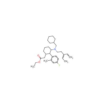 C=C/C(=C\C)CCN(CC1CCCCC1)C1CCCC(CC(=O)OCC)C1c1ccc(F)cc1C